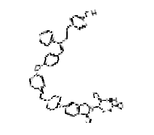 O=C1CCC(N2Cc3cc(N4CCC(CN5CCC(Oc6ccc(/C=C(/CCc7ccc(O)cc7)c7ccccc7)cc6)CC5)CC4)ccc3C2=O)C(=O)N1